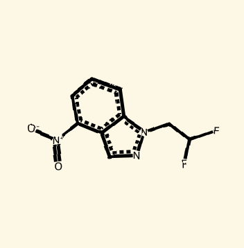 O=[N+]([O-])c1cccc2c1cnn2CC(F)F